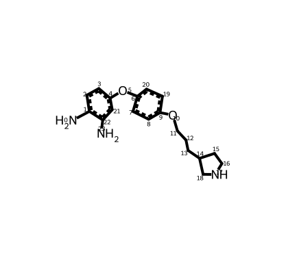 Nc1ccc(Oc2ccc(OCCCC3CCNC3)cc2)cc1N